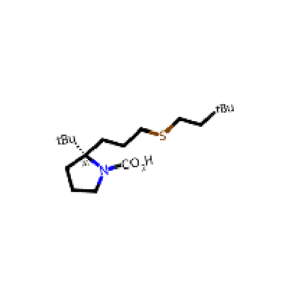 CC(C)(C)CCSCCC[C@]1(C(C)(C)C)CCCN1C(=O)O